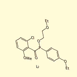 CCOCCOP(C(=O)c1c(Cl)cccc1OC)c1ccc(OCC)cc1.[Li]